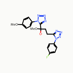 COc1ccc(-n2nnnc2C([O])(CCc2nnnn2-c2ccc(F)cc2)OC)cc1